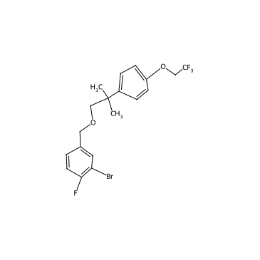 CC(C)(COCc1ccc(F)c(Br)c1)c1ccc(OCC(F)(F)F)cc1